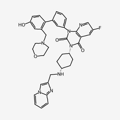 O=c1c2cc(F)cnc2n(-c2cccc(-c3ccc(O)cc3CN3CCOCC3)c2)c(=O)n1[C@H]1CC[C@@H](NCc2cn3ccccc3n2)CC1